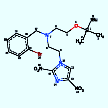 CC(C)(C)[Si](C)(C)OCCN(CCn1cc([N+](=O)[O-])nc1[N+](=O)[O-])Cc1ccccc1Br